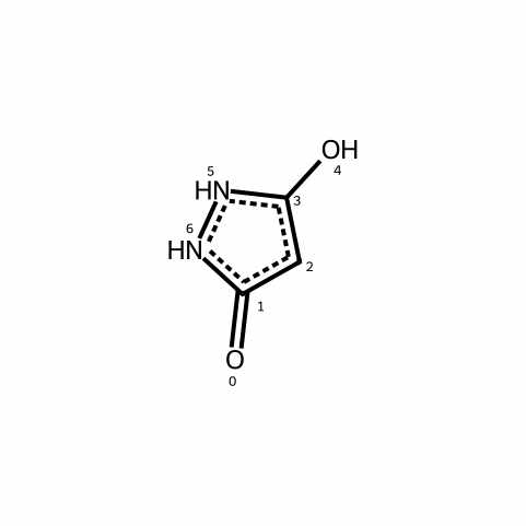 O=c1cc(O)[nH][nH]1